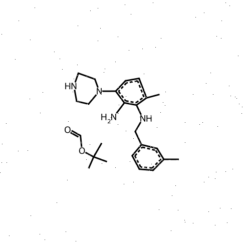 CC(C)(C)OC=O.Cc1cccc(CNc2c(C)ccc(N3CCNCC3)c2N)c1